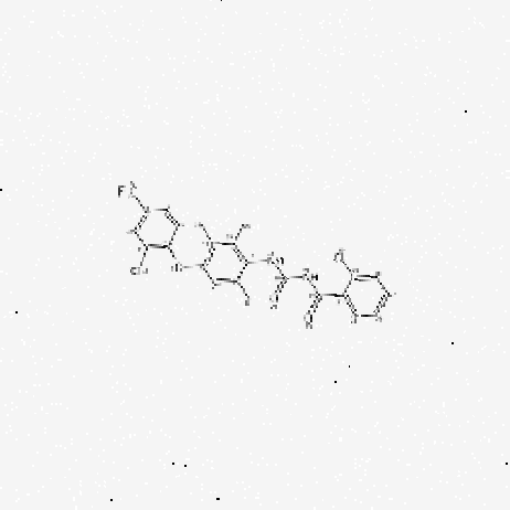 Cc1cc(Oc2ccc(C(F)(F)F)cc2Cl)c(C)c(C)c1NC(=O)NC(=O)c1ccccc1Cl